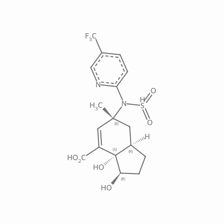 C[C@]1(N(c2ccc(C(F)(F)F)cn2)[SH](=O)=O)C=C(C(=O)O)[C@@]2(O)[C@H](CC[C@H]2O)C1